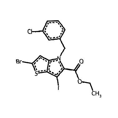 CCOC(=O)c1c(I)c2sc(Br)cc2n1Cc1cccc(Cl)c1